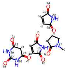 CN1CCCC1=O.O=C1C=CC(=O)N1.O=C1C=CC(=O)N1.O=C1CC(=O)NC(=O)N1